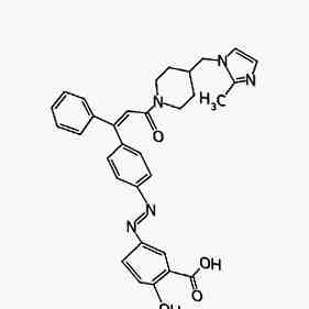 Cc1nccn1CC1CCN(C(=O)/C=C(/c2ccccc2)c2ccc(N=Nc3ccc(O)c(C(=O)O)c3)cc2)CC1